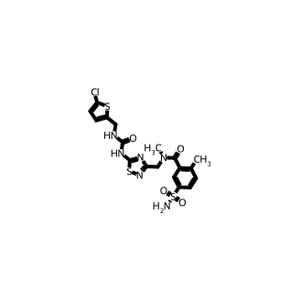 Cc1ccc(S(N)(=O)=O)cc1C(=O)N(C)Cc1nsc(NC(=O)NCc2ccc(Cl)s2)n1